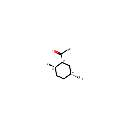 CCCC(=O)[C@@H]1C[C@H](C)CC[C@H]1C(C)C